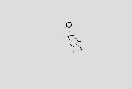 C=C(CN1CC[C@@H](O)[C@@H](COc2ccccc2F)C1)/C(=N\C=C/N)OC(C)(C)C